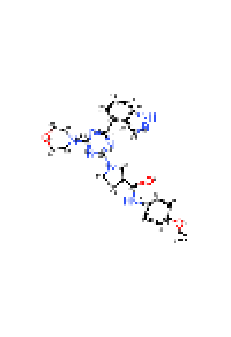 CCOc1ccc(NC(=O)C2CCN(c3nc(-c4cccc5[nH]ncc45)nc(N4CCOCC4)n3)C2)cc1